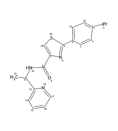 CC(C)c1ccc(-c2nc(C(=O)NC(C)c3ccccn3)cs2)cc1